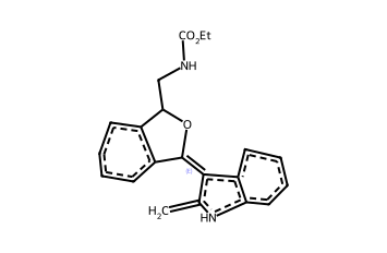 C=c1[nH]c2ccccc2/c1=C1\OC(CNC(=O)OCC)c2ccccc21